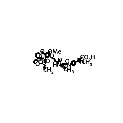 C=CCOC(=O)N1c2cc(OCCCC(=O)Nc3cc(C(=O)Nc4ccc(-c5cc(C(=O)O)n(C)c5)cc4)n(C)c3)c(OC)cc2C(=O)N2CCCC[C@H]2C1OC1CCCCO1